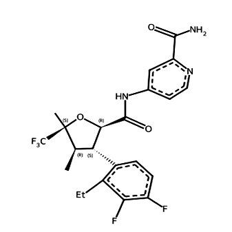 CCc1c([C@@H]2[C@@H](C)[C@@](C)(C(F)(F)F)O[C@H]2C(=O)Nc2ccnc(C(N)=O)c2)ccc(F)c1F